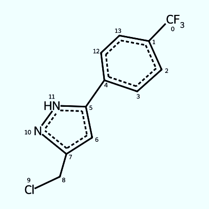 FC(F)(F)c1ccc(-c2cc(CCl)n[nH]2)cc1